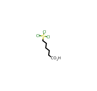 O=C(O)CCCCCS(Cl)(Cl)Cl